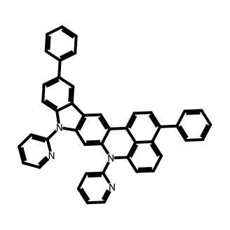 c1ccc(-c2ccc3c(c2)c2cc4c(cc2n3-c2ccccn2)N(c2ccccn2)c2cccc3c(-c5ccccc5)ccc-4c23)cc1